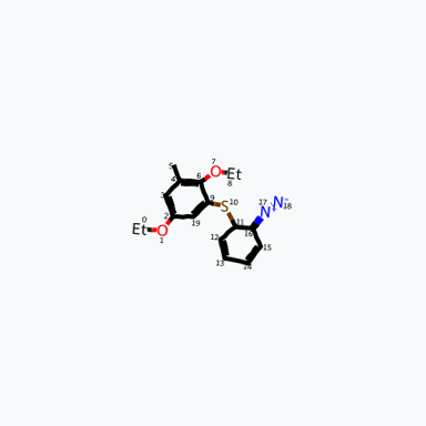 CCOc1cc(C)c(OCC)c(SC2C=CC=CC2=[N+]=[N-])c1